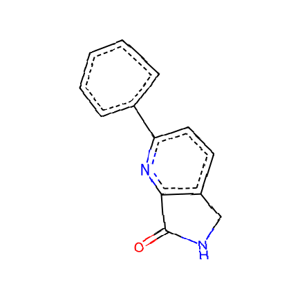 O=C1NCc2ccc(-c3ccccc3)nc21